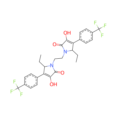 CCC1C(c2ccc(C(F)(F)F)cc2)=C(O)C(=O)N1CCN1C(=O)C(O)=C(c2ccc(C(F)(F)F)cc2)C1CC